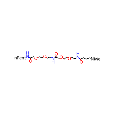 CCCCCNC(=O)COCCOCCNC(=O)COCCOCCNC(=O)CCCNC